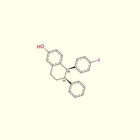 Oc1ccc2c(c1)CC[C@H](c1ccccc1)[C@@H]2c1ccc(I)cc1